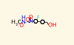 CC(=O)NC[C@H]1CN(c2ccc(-c3ccc(CCO)cc3)c(F)c2)C(=O)O1